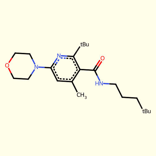 Cc1cc(N2CCOCC2)nc(C(C)(C)C)c1C(=O)NCCCC(C)(C)C